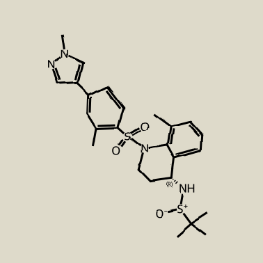 Cc1cc(-c2cnn(C)c2)ccc1S(=O)(=O)N1CC[C@@H](N[S+]([O-])C(C)(C)C)c2cccc(C)c21